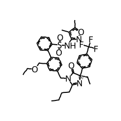 CCCCC1=N[C@@](CC)(c2ccc(C(F)(F)F)cc2)C(=O)N1Cc1ccc(-c2ccccc2S(=O)(=O)Nc2noc(C)c2C)c(COCC)c1